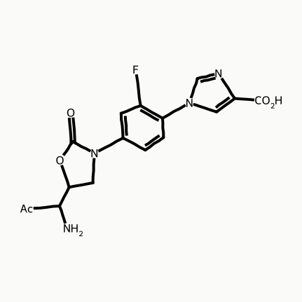 CC(=O)C(N)C1CN(c2ccc(-n3cnc(C(=O)O)c3)c(F)c2)C(=O)O1